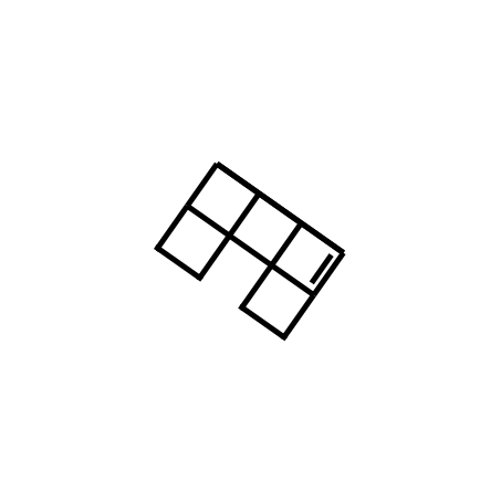 C1CC23C1=C1C4C5CCC52C4C13